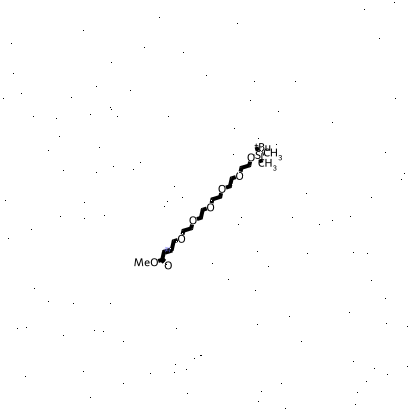 COC(=O)/C=C/COCCOCCOCCOCCOCCO[Si](C)(C)C(C)(C)C